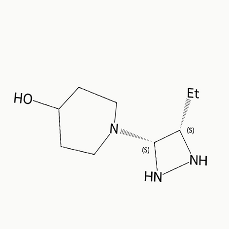 CC[C@@H]1NN[C@@H]1N1CCC(O)CC1